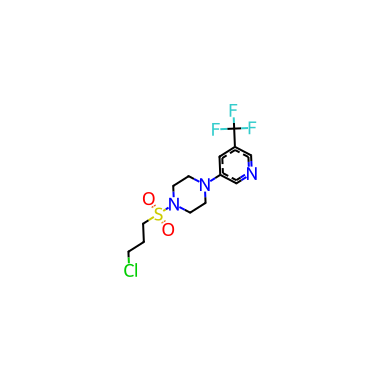 O=S(=O)(CCCCl)N1CCN(c2cncc(C(F)(F)F)c2)CC1